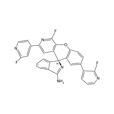 NC1=N[C@@]2(c3cc(-c4cccnc4F)ccc3Oc3c2cc(-c2ccnc(F)c2)nc3F)c2ccccc21